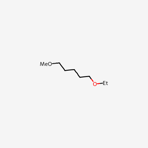 [CH2]COCCCCCOC